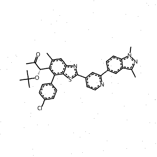 CC(=O)[C@@H](OC(C)(C)C)c1c(C)cc2nc(-c3ccnc(-c4ccc5c(c4)c(C)nn5C)c3)sc2c1-c1ccc(Cl)cc1